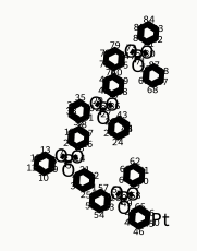 [Pt].c1ccc(OP(Oc2ccccc2)Oc2ccccc2)cc1.c1ccc(OP(Oc2ccccc2)Oc2ccccc2)cc1.c1ccc(OP(Oc2ccccc2)Oc2ccccc2)cc1.c1ccc(OP(Oc2ccccc2)Oc2ccccc2)cc1